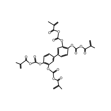 C=C(C)C(=O)OC(=O)Oc1ccc(-c2ccc(OC(=O)OC(=O)C(=C)C)c(OC(=O)OC(=O)C(=C)C)c2)cc1OC(=O)OC(=O)C(=C)C